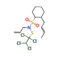 C=CCN(SC(Cl)(Cl)C(Cl)Cl)S(=O)(=O)C1CCCCC1CC=CC